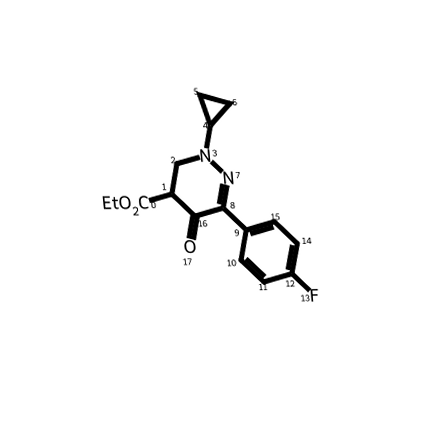 CCOC(=O)C1CN(C2CC2)N=C(c2ccc(F)cc2)C1=O